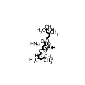 CC(CCOC(=O)CC(C(=O)OCCC(C)CC(C)(C)C)S(=O)(=O)O)CC(C)(C)C.[NaH]